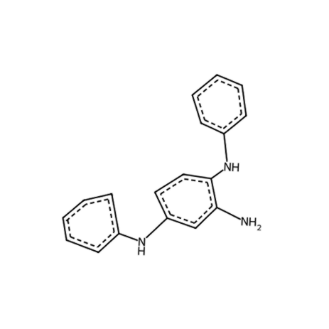 Nc1cc(Nc2ccccc2)ccc1Nc1ccccc1